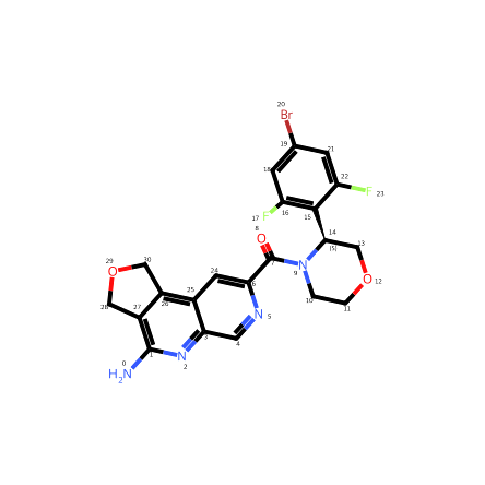 Nc1nc2cnc(C(=O)N3CCOC[C@@H]3c3c(F)cc(Br)cc3F)cc2c2c1COC2